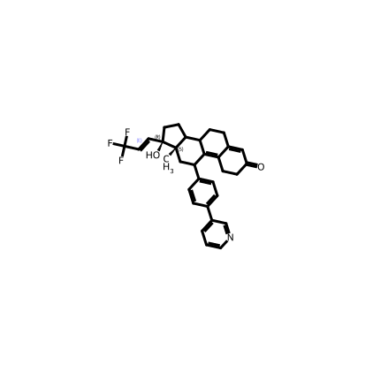 C[C@]12CC(c3ccc(-c4cccnc4)cc3)C3=C4CCC(=O)C=C4CCC3C1CC[C@@]2(O)/C=C/C(F)(F)F